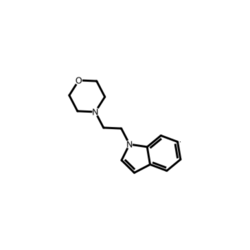 [c]1ccc2ccn(CCN3CCOCC3)c2c1